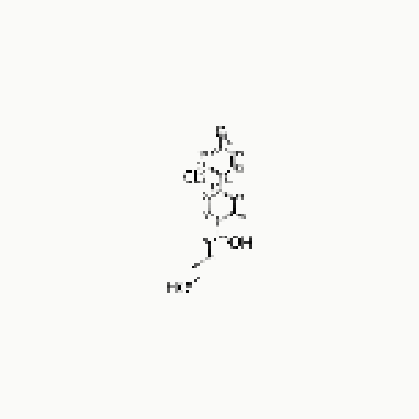 OCCCC[C@H](O)c1ccc(-c2ccc(Cl)cc2Cl)cc1